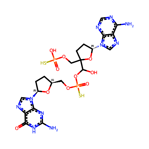 Nc1nc2c(ncn2[C@H]2CC[C@@H](COP(=O)(S)OC(O)C3(COP(=O)(O)S)CC[C@H](n4cnc5c(N)ncnc54)O3)O2)c(=O)[nH]1